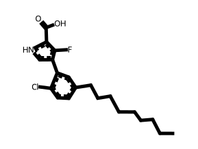 CCCCCCCCCc1ccc(Cl)c(-c2c[nH]c(C(=O)O)c2F)c1